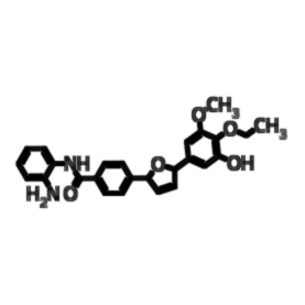 CCOc1c(O)cc(C2C=CC(c3ccc(C(=O)Nc4ccccc4N)cc3)O2)cc1OC